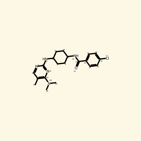 Cc1cnc(NC2CCC(NC(=O)c3ccc(Cl)cc3)CC2)nc1N(C)C